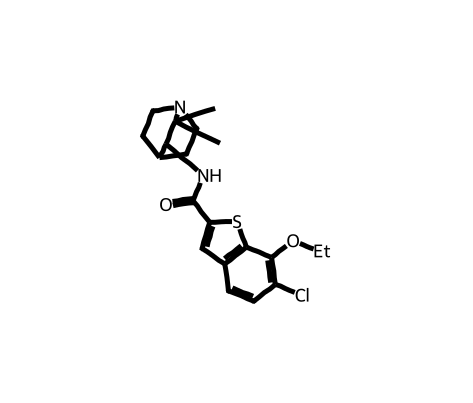 CCOc1c(Cl)ccc2cc(C(=O)NC3C4CCN(CC4)C3(C)C)sc12